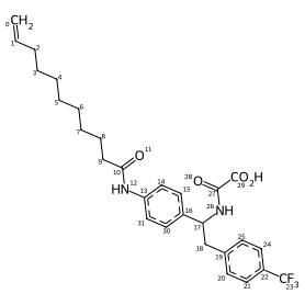 C=CCCCCCCCCC(=O)Nc1ccc(C(Cc2ccc(C(F)(F)F)cc2)NC(=O)C(=O)O)cc1